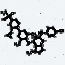 Cc1cc(-c2ccc(S(N)(=O)=O)cc2C2CC2)cc(C)c1Oc1nc(Nc2ccc(C#N)cc2)nc2ccn(C)c12